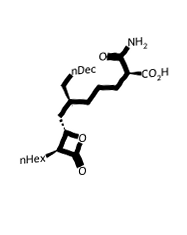 CCCCCCCCCCC[C@@H](CCC[C@@H](C(N)=O)C(=O)O)C[C@@H]1OC(=O)[C@H]1CCCCCC